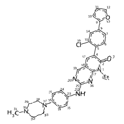 CCn1c(=O)c(-c2ccc(-c3ccco3)cc2Cl)cc2cnc(Nc3ccc(N4CCN(C)CC4)cc3)nc21